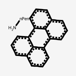 CCCCCN.c1cc2cccc3c4cccc5cccc(c(c1)c23)c54